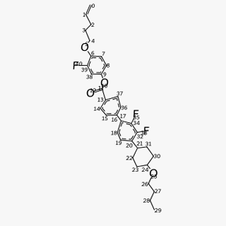 C=CCCCOc1ccc(OC(=O)c2ccc(-c3ccc(C4CCC(OCCCC)CC4)c(F)c3F)cc2)cc1F